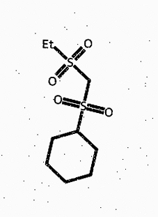 CCS(=O)(=O)CS(=O)(=O)C1CCCCC1